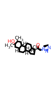 C[C@H]1C[C@H]2[C@@H](CC[C@@H]3[C@@H]2CC[C@]2(C)[C@@H](C(=O)Cn4ccnn4)CC[C@@H]32)C[C@]1(C)O